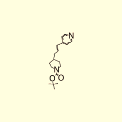 CC(C)(C)OC(=O)N1CCC(CC=Cc2ccncc2)CC1